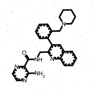 Nc1nccnc1C(=O)NCc1nc2ccccc2cc1-c1ccccc1CN1CCCCC1